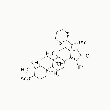 CC(=O)OC(C1SCCCS1)C12CCC3(C)C(CCC4C5(C)CCC(OC(C)=O)C(C)(C)C5CCC43C)C1=C(C(C)C)C(=O)C2